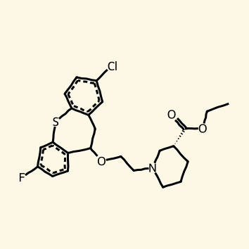 CCOC(=O)[C@@H]1CCCN(CCOC2Cc3cc(Cl)ccc3Sc3cc(F)ccc32)C1